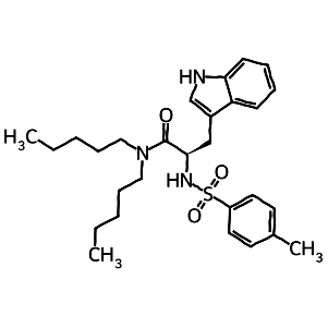 CCCCCN(CCCCC)C(=O)[C@@H](Cc1c[nH]c2ccccc12)NS(=O)(=O)c1ccc(C)cc1